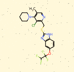 Cc1cnc(CSc2nc3cc(OC(F)(F)C(F)F)ccc3[nH]2)c(Cl)c1N1CCCCC1